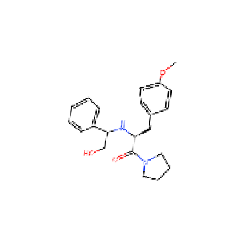 COc1ccc(C[C@H](NC(CO)c2ccccc2)C(=O)N2CCCC2)cc1